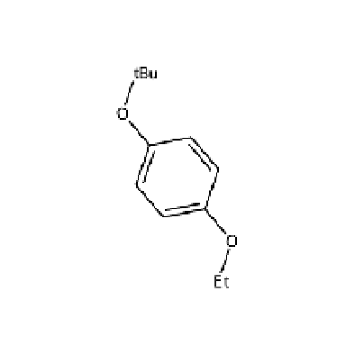 [CH2]C(C)(C)Oc1ccc(OCC)cc1